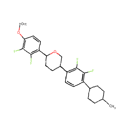 CCCCCCCCOc1ccc(C2CCC(c3ccc(C4CCC(C)CC4)c(F)c3F)CO2)c(F)c1F